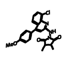 COc1ccc(-c2cc(NN3C(=O)C(C)C(C)C3=O)nc3c(Cl)cccc23)cc1